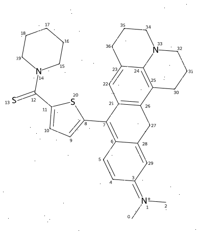 C[N+](C)=C1C=CC2=C(c3ccc(C(=S)N4CCCCC4)s3)c3cc4c5c(c3CC2=C1)CCCN5CCC4